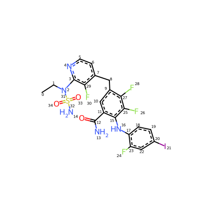 CCN(c1nccc(Cc2cc(C(N)=O)c(Nc3ccc(I)cc3F)c(F)c2F)c1F)S(N)(=O)=O